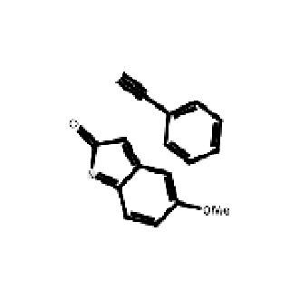 C#Cc1ccccc1.COc1ccc2c(c1)=CC(=O)N=2